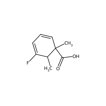 CC1C(F)=CC=CC1(C)C(=O)O